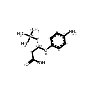 C[N+](C)(C)C[C@@H](CC(=O)O)Oc1ccc(N)cc1